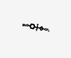 COc1ccc(C(F)(F)C23CC(C)(C2)C3)cc1